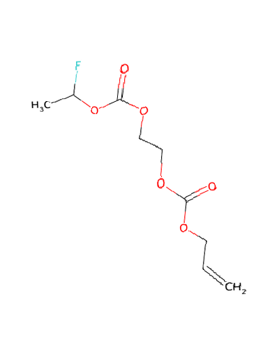 C=CCOC(=O)OCCOC(=O)OC(C)F